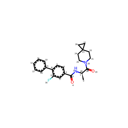 C[C@@H](NC(=O)c1ccc(-c2ccccc2)c(F)c1)C(=O)N1CCC2(CC1)CC2